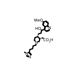 COc1ccc2nccc(C(O)CC[C@@H]3CCN(CCCCc4cncn4C)C[C@@H]3CC(=O)O)c2c1